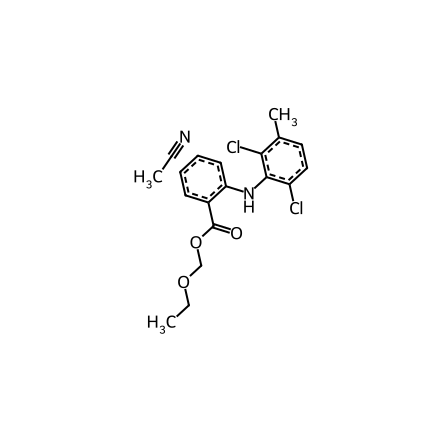 CC#N.CCOCOC(=O)c1ccccc1Nc1c(Cl)ccc(C)c1Cl